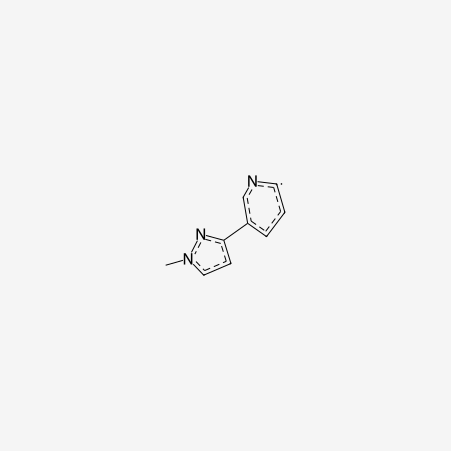 Cn1ccc(-c2cc[c]nc2)n1